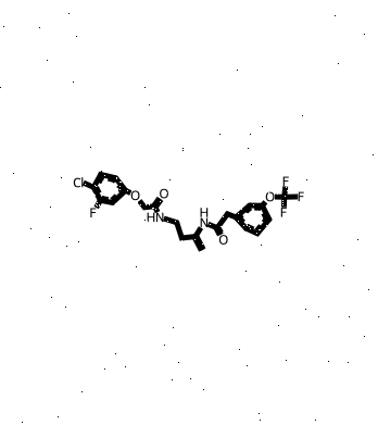 C=C(CCNC(=O)COc1ccc(Cl)c(F)c1)NC(=O)Cc1cccc(OC(F)(F)F)c1